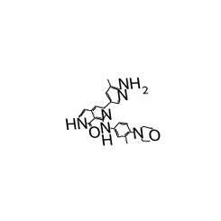 Cc1cc(Nc2nc(-c3cnc(N)c(C)c3)cc3cc[nH]c(=O)c23)ccc1N1CCOCC1